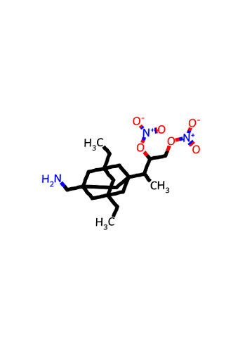 CCC12CC3(CC)CC(CN)(C1)CC(C(C)C(CO[N+](=O)[O-])O[N+](=O)[O-])(C2)C3